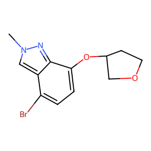 Cn1cc2c(Br)ccc(OC3CCOC3)c2n1